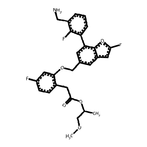 COCC(C)OC(=O)Cc1ccc(F)cc1OCc1cc(-c2cccc(CN)c2F)c2oc(F)cc2c1